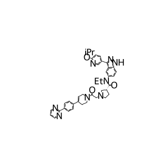 CCN(C(=O)[C@@H]1CCN(CC(=O)N2CC=C(c3ccc(-c4ncccn4)cc3)CC2)C1)c1ccc2[nH]nc(-c3ccc(OC(C)C)nc3)c2c1